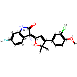 COc1ccc(C2=C/C(=C3\C(=O)Nc4cc(F)ccc43)OC2(C)C)cc1Cl